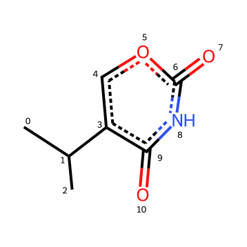 CC(C)c1coc(=O)[nH]c1=O